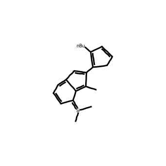 CCCCC1=C(C2=[C]c3cccc(=[Si](C)C)c3=C2C)CC=C1